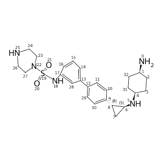 N[C@H]1CC[C@@H](N[C@H]2C[C@@H]2c2ccc(-c3cccc(NS(=O)(=O)N4CCNCC4)c3)cc2)CC1